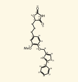 COc1cc(CCCC2OC(=O)NC2=O)ccc1OCc1csc(-c2ccccc2)n1